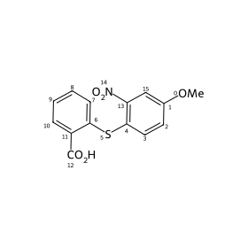 COc1ccc(Sc2ccccc2C(=O)O)c([N+](=O)[O-])c1